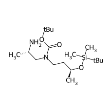 C[C@H](N)CN(CC[C@H](C)O[Si](C)(C)C(C)(C)C)C(=O)OC(C)(C)C